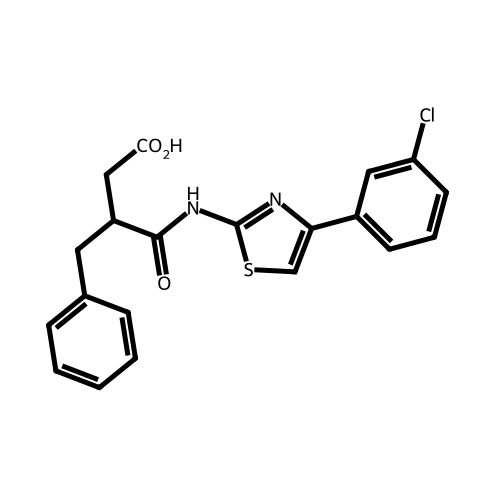 O=C(O)CC(Cc1ccccc1)C(=O)Nc1nc(-c2cccc(Cl)c2)cs1